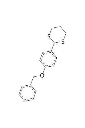 c1ccc(COc2ccc(C3SCCCS3)cc2)cc1